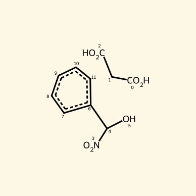 O=C(O)CC(=O)O.O=[N+]([O-])C(O)c1ccccc1